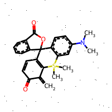 C=C1C(=O)C=CC2=C1S(C)(C)c1cc(N(C)C)ccc1C21OC(=O)c2ccccc21